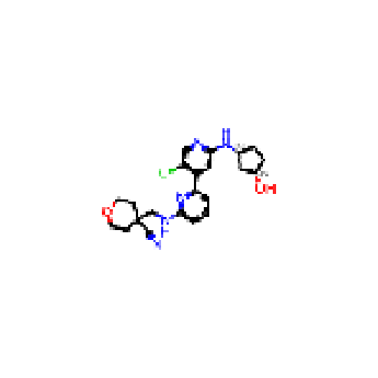 N#CC1(CNc2cccc(-c3cc(N[C@H]4CC[C@@H](O)C4)ncc3Cl)n2)CCOCC1